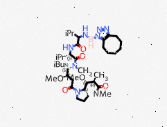 CC[C@H](C)[C@@H]([C@@H](CC(=O)N1CCC[C@H]1[C@H](OC)[C@@H](C)C(=O)NC)OC)N(C)C(=O)[C@@H](NC(=O)C(NBn1nnc2c1CCCCCC2)C(C)C)C(C)C